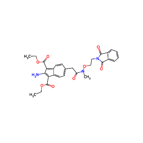 CCOC(=O)c1c2ccc(CC(=O)N(C)OCCN3C(=O)c4ccccc4C3=O)ccc-2c(C(=O)OCC)c1N